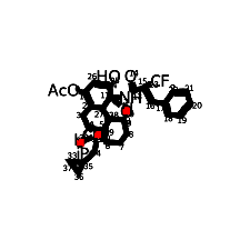 CC(=O)OC1=C2C[C@@H]3[C@@H]4CCC[C@@H]5OC(NC(=O)C(=Cc6ccccc6)C(F)(F)F)(C(O)=C1)C2[C@@]54CC[N+]3(CC(C)C)CC1CC1